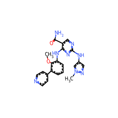 COc1c(Nc2nc(Nc3cnn(C)c3)ncc2C(N)=O)cccc1-c1ccncc1